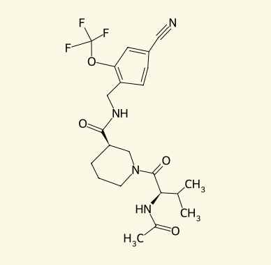 CC(=O)N[C@@H](C(=O)N1CCC[C@@H](C(=O)NCc2ccc(C#N)cc2OC(F)(F)F)C1)C(C)C